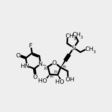 CC[Si](C#C[C@]1(CO)O[C@@H](n2cc(F)c(=O)[nH]c2=O)[C@H](O)[C@@H]1O)(CC)CC